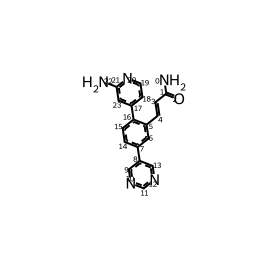 NC(=O)/C=C/c1cc(-c2cncnc2)ccc1-c1ccnc(N)c1